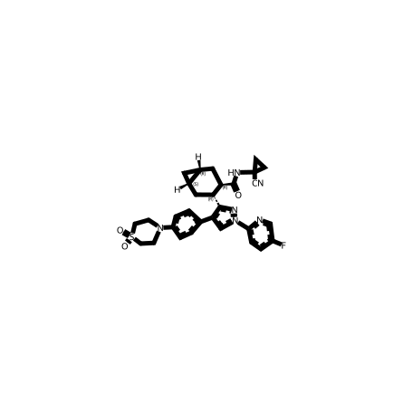 N#CC1(NC(=O)[C@@H]2C[C@H]3C[C@H]3C[C@H]2c2nn(-c3ccc(F)cn3)cc2-c2ccc(N3CCS(=O)(=O)CC3)cc2)CC1